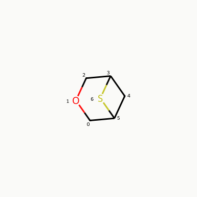 C1OCC2CC1S2